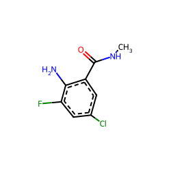 CNC(=O)c1cc(Cl)cc(F)c1N